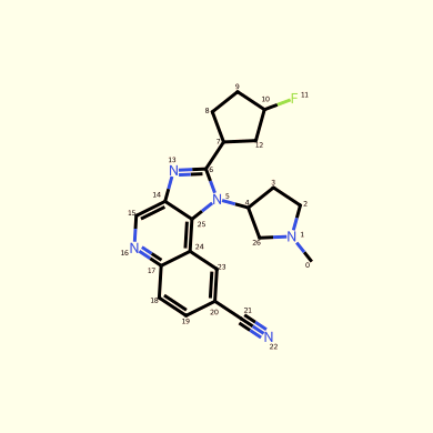 CN1CCC(n2c(C3CCC(F)C3)nc3cnc4ccc(C#N)cc4c32)C1